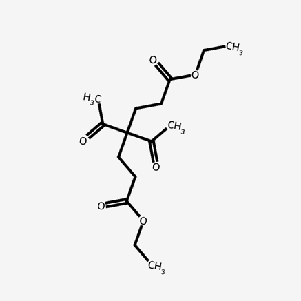 CCOC(=O)CCC(CCC(=O)OCC)(C(C)=O)C(C)=O